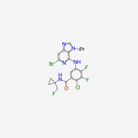 CC(C)n1cnc2cc(Br)nc(Nc3cc(C(=O)NC4(CF)CC4)c(Cl)c(F)c3F)c21